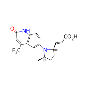 C[C@@H]1CC[C@H](C=CC(=O)O)N1c1ccc2[nH]c(=O)cc(C(F)(F)F)c2c1